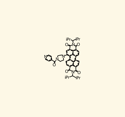 CC(C)C(C(C)C)N1C(=O)c2ccc3c4ccc5c6c(cc(N7CCN(C(=O)c8ccncc8)CC7)c(c7ccc(c2c37)C1=O)c64)C(=O)N(C(C(C)C)C(C)C)C5=O